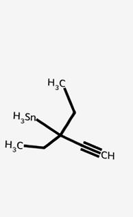 C#C[C]([SnH3])(CC)CC